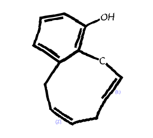 Oc1cccc2c1C/C=C/C/C=C\C2